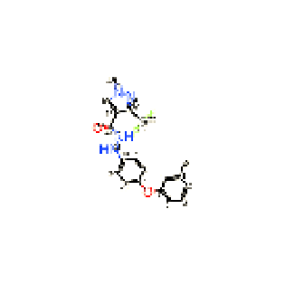 Cc1cccc(Oc2ccc(NNC(=O)c3cn(C)nc3C(F)F)cc2)c1